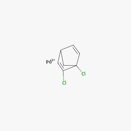 ClC1=CC2C=CC1(Cl)C2.[Pd+2]